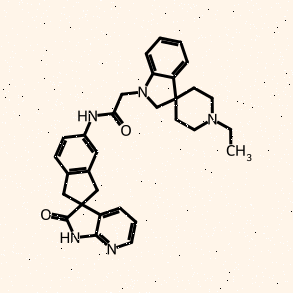 CCN1CCC2(CC1)CN(CC(=O)Nc1ccc3c(c1)CC1(C3)C(=O)Nc3ncccc31)c1ccccc12